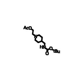 CC(=O)OCCN1CCC(CNC(=O)OC(C)(C)C)CC1